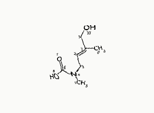 C/C(=C\CN(C)C(=O)O)CO